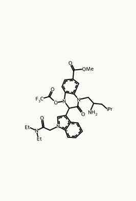 CCN(CC)C(=O)Cn1cc(C2C(=O)N(CC(N)CC(C)C)c3cc(C(=O)OC)ccc3N2OC(=O)C(F)(F)F)c2ccccc21